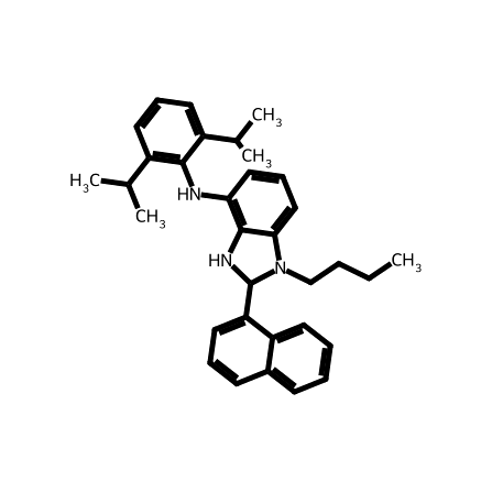 CCCCN1c2cccc(Nc3c(C(C)C)cccc3C(C)C)c2NC1c1cccc2ccccc12